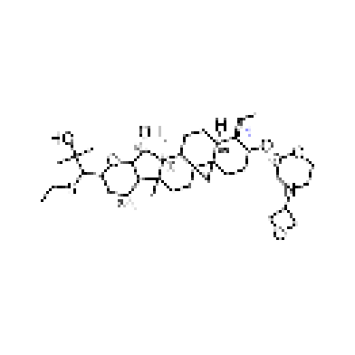 C/C=C1\C(O[C@H]2CN(C3COC3)CCO2)CCC23CC24CCC2(C)C5C(OC(C(SCC)C(C)(C)O)C[C@H]5C)[C@H](O)[C@@]2(C)C4CC[C@@H]13